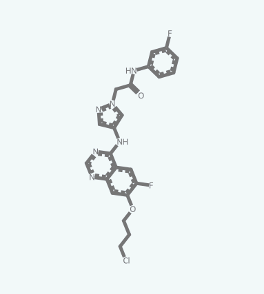 O=C(Cn1cc(Nc2ncnc3cc(OCCCCl)c(F)cc23)cn1)Nc1cccc(F)c1